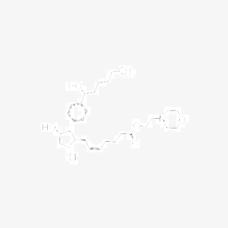 CCCCC[C@H](O)c1ccc([C@@H]2[C@@H](C/C=C\CCCC(=O)OCCN3CCOCC3)[C@H](Cl)C[C@H]2O)cc1